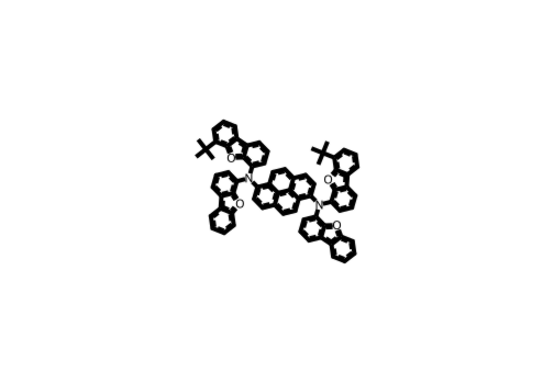 CC(C)(C)c1cccc2c1oc1c(N(c3ccc4ccc5c(N(c6cccc7c6oc6ccccc67)c6cccc7c6oc6c(C(C)(C)C)cccc67)ccc6ccc3c4c65)c3cccc4c3oc3ccccc34)cccc12